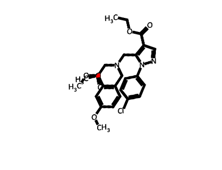 CCOC(=O)c1cnn(-c2ccc(Cl)cc2)c1CN(CC(=O)OC)Cc1ccc(OC)cc1OC